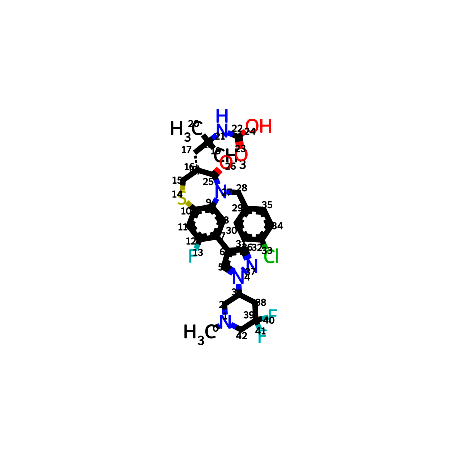 CN1CC(n2cc(-c3cc4c(cc3F)SC[C@H](CC(C)(C)NC(=O)O)C(=O)N4Cc3ccc(Cl)cc3)cn2)CC(F)(F)C1